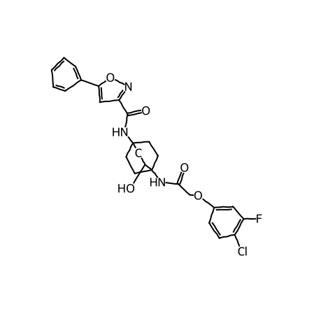 O=C(COc1ccc(Cl)c(F)c1)NC12CCC(NC(=O)c3cc(-c4ccccc4)on3)(CC1)CC2O